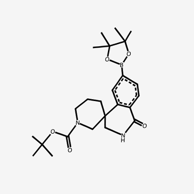 CC(C)(C)OC(=O)N1CCCC2(CNC(=O)c3ccc(B4OC(C)(C)C(C)(C)O4)cc32)C1